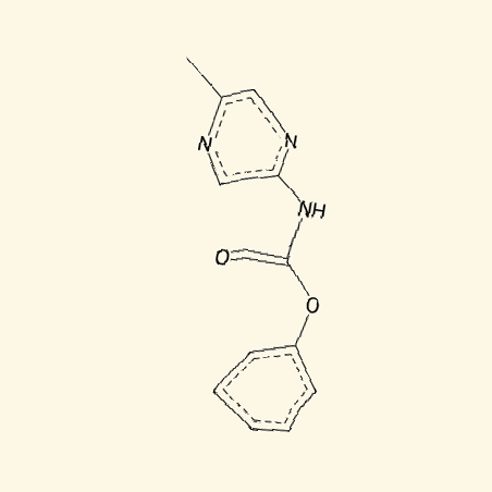 Cc1cnc(NC(=O)Oc2ccccc2)cn1